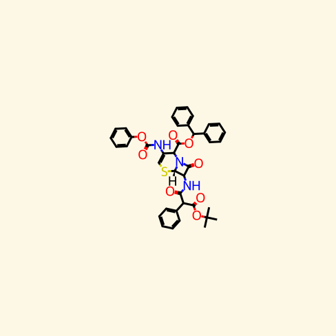 CC(C)(C)OC(=O)C(C(=O)NC1C(=O)N2C(C(=O)OC(c3ccccc3)c3ccccc3)C(NC(=O)Oc3ccccc3)=CS[C@@H]12)c1ccccc1